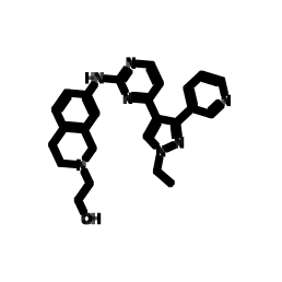 CCn1cc(-c2ccnc(Nc3ccc4c(c3)CN(CCO)CC4)n2)c(-c2cccnc2)n1